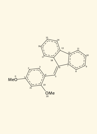 COc1ccc(C=C2c3ccccc3-c3ccccc32)c(OC)c1